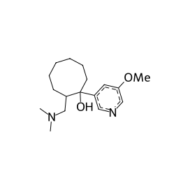 COc1cncc(C2(O)CCCCCCC2CN(C)C)c1